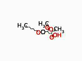 CCCCCCCOc1ccc(C(CC(CCC)C(=O)O)C(=O)OCC)cc1